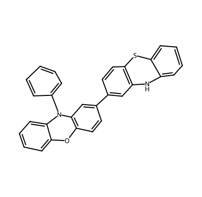 c1ccc(N2c3ccccc3Oc3ccc(-c4ccc5c(c4)Nc4ccccc4S5)cc32)cc1